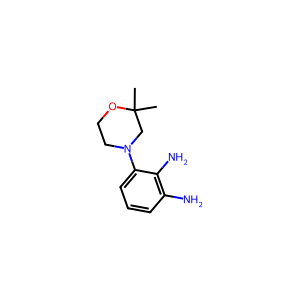 CC1(C)CN(c2cccc(N)c2N)CCO1